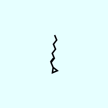 CCCCCC=CC1CC1